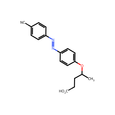 CC(CCC(=O)O)Oc1ccc(N=Nc2ccc(C#N)cc2)cc1